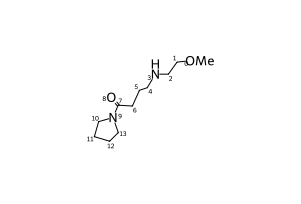 COCCNCCCC(=O)N1CCCC1